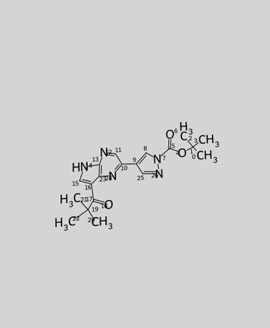 CC(C)(C)OC(=O)n1cc(-c2cnc3[nH]cc(C(=O)C(C)(C)C)c3n2)cn1